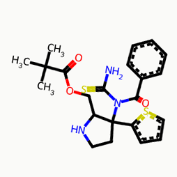 CC(C)(C)C(=O)OCC1NCCC1(c1cccs1)N(C(=O)c1ccccc1)C(N)=S